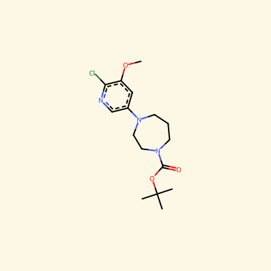 COc1cc(N2CCCN(C(=O)OC(C)(C)C)CC2)cnc1Cl